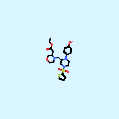 CCOC(=O)C[C@@H]1COCCN1C[C@H]1CN(S(=O)(=O)c2cccs2)CCN1c1ccc(O)cc1